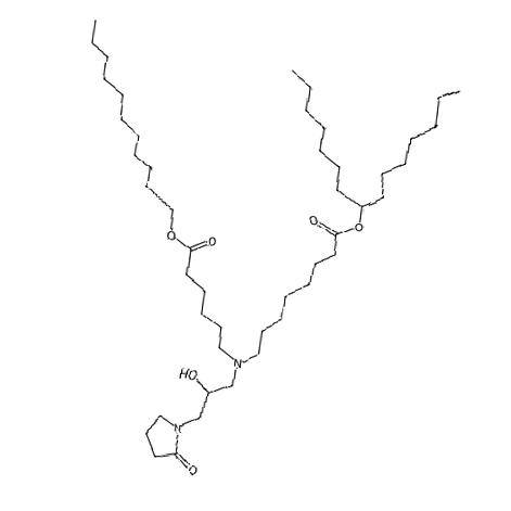 CCCCCCCCCCCOC(=O)CCCCCN(CCCCCCCC(=O)OC(CCCCCCC)CCCCCCC)CC(O)CN1CCCC1=O